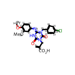 C=C(Cn1c(=O)[nH]/c(=N\c2ccc(OC(C)C)c(OC)c2)n(Cc2ccc(Cl)cc2)c1=O)C(=O)O